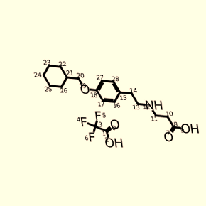 O=C(O)C(F)(F)F.O=C(O)CCNCCc1ccc(OCC2CCCCC2)cc1